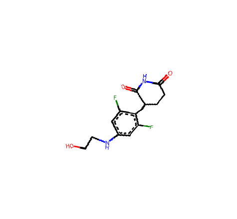 O=C1CCC(c2c(F)cc(NCCO)cc2F)C(=O)N1